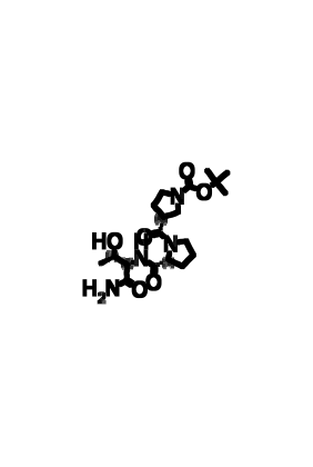 C[C@@H](O)[C@H](NC(=O)[C@H]1CCCN1C(=O)[C@@H]1CCN(C(=O)OC(C)(C)C)C1)C(N)=O